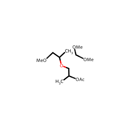 COCC(C)OCC(C)OC(C)=O.COCOC